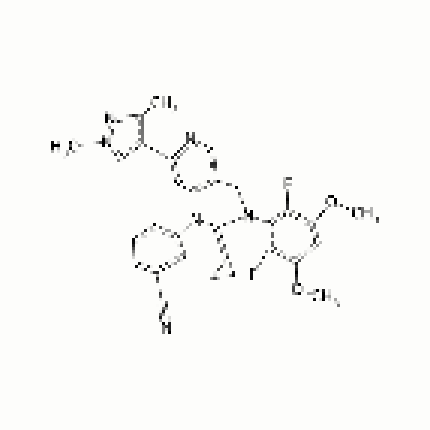 COc1cc(OC)c(F)c(N2Cc3cnc(-c4cn(C)nc4C)cc3N(c3cccc(C#N)c3)C2=C2CC2)c1F